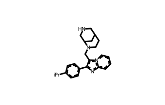 CC(C)c1ccc(-c2nc3ccccn3c2CN2CCC3CNCC2C3)cc1